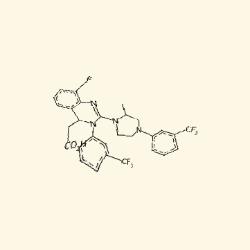 CC1CN(c2cccc(C(F)(F)F)c2)CCN1C1=Nc2c(F)cccc2C(CC(=O)O)N1c1cccc(C(F)(F)F)c1